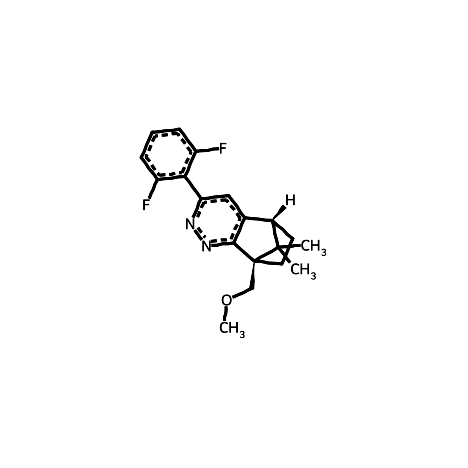 COC[C@@]12CC[C@@H](c3cc(-c4c(F)cccc4F)nnc31)C2(C)C